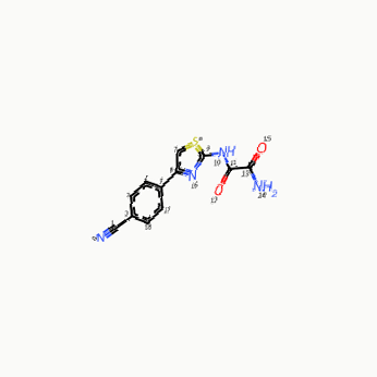 N#Cc1ccc(-c2csc(NC(=O)C(N)=O)n2)cc1